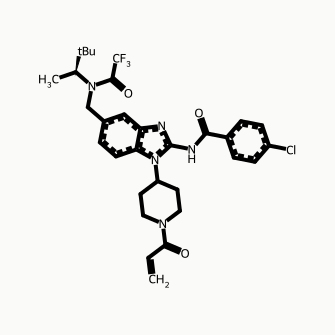 C=CC(=O)N1CCC(n2c(NC(=O)c3ccc(Cl)cc3)nc3cc(CN(C(=O)C(F)(F)F)[C@@H](C)C(C)(C)C)ccc32)CC1